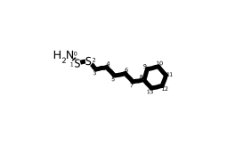 NSSCCCCCC1CCCCC1